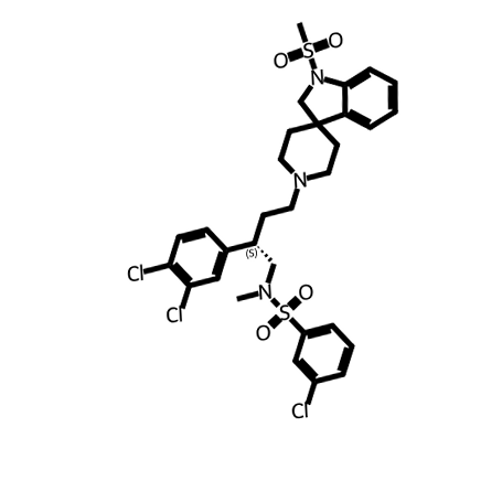 CN(C[C@@H](CCN1CCC2(CC1)CN(S(C)(=O)=O)c1ccccc12)c1ccc(Cl)c(Cl)c1)S(=O)(=O)c1cccc(Cl)c1